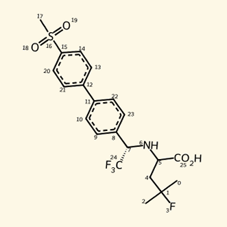 CC(C)(F)CC(N[C@@H](c1ccc(-c2ccc(S(C)(=O)=O)cc2)cc1)C(F)(F)F)C(=O)O